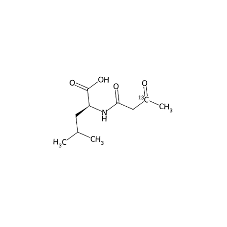 CC(C)C[C@H](NC(=O)C[13C](C)=O)C(=O)O